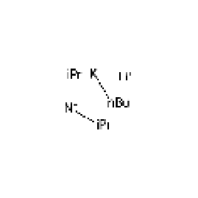 CC(C)[N-]C(C)C.CCC[CH2][K].[Li+]